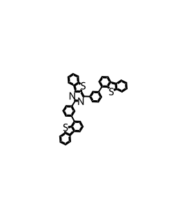 c1cc(-c2nc(-c3cccc(-c4cccc5c4sc4ccccc45)c3)c3sc4ccccc4c3n2)cc(-c2cccc3c2sc2ccccc23)c1